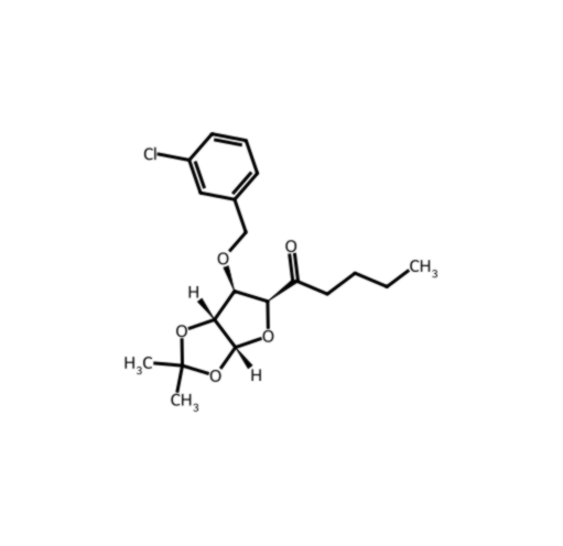 CCCCC(=O)[C@H]1O[C@@H]2OC(C)(C)O[C@@H]2[C@H]1OCc1cccc(Cl)c1